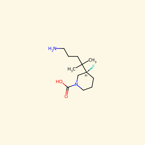 CC(C)(CCCN)[C@]1(F)CCCN(C(=O)O)C1